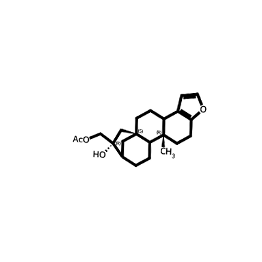 CC(=O)OC[C@@]1(O)C[C@@]23CCC4c5ccoc5CC[C@]4(C)C2CCC1C3